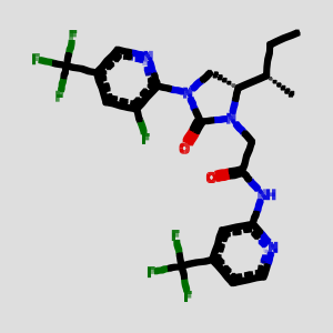 CC[C@H](C)[C@H]1CN(c2ncc(C(F)(F)F)cc2F)C(=O)N1CC(=O)Nc1cc(C(F)(F)F)ccn1